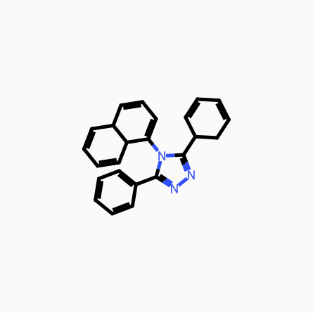 C1=CCC(c2nnc(-c3ccccc3)n2C2=CC=CC3C=CC=CC23)C=C1